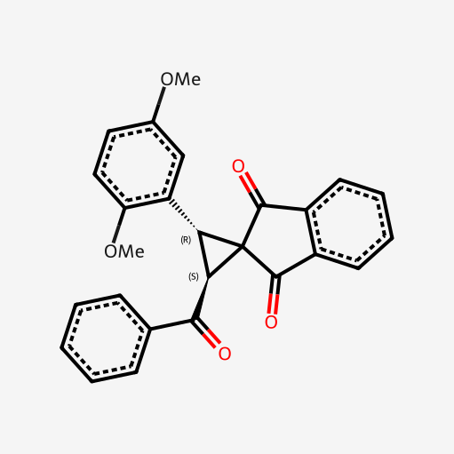 COc1ccc(OC)c([C@H]2[C@H](C(=O)c3ccccc3)C23C(=O)c2ccccc2C3=O)c1